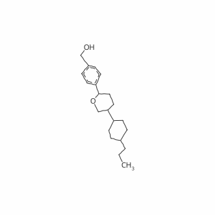 CCCC1CCC(C2CCC(c3ccc(CO)cc3)OC2)CC1